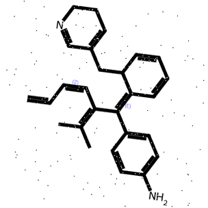 C=C/C=C\C(=C(C)C)/C(=C1/C=CC=CC1CC1=CCCN=C1)c1ccc(N)cc1